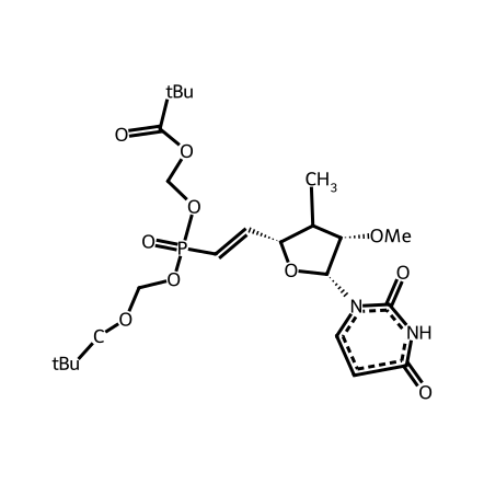 CO[C@H]1C(C)[C@@H](/C=C/P(=O)(OCOCC(C)(C)C)OCOC(=O)C(C)(C)C)O[C@H]1n1ccc(=O)[nH]c1=O